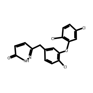 O=c1ccc(Cc2ccc(Cl)c(Oc3cc(Cl)ccc3Cl)c2)n[nH]1